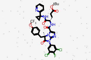 CC(C)(C)OC(=O)CC[C@H](NC(=O)c1cnc2n1[C@](C)(Cc1ccc(OC(F)(F)F)cc1)C(=O)N2c1cc(Cl)c(F)c(Cl)c1)C(=O)NC1(c2ccccn2)CC1